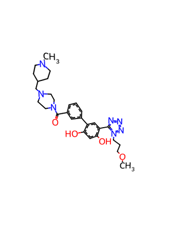 COCCCn1nnnc1-c1cc(-c2cccc(C(=O)N3CCN(CC4CCN(C)CC4)CC3)c2)c(O)cc1O